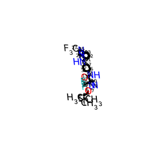 C[Si](C)(C)CCOCn1ncc(C(=O)N[C@H]2CC[C@@H](Nc3cccc4nc(C(F)(F)F)cn34)CC2)c1C(F)F